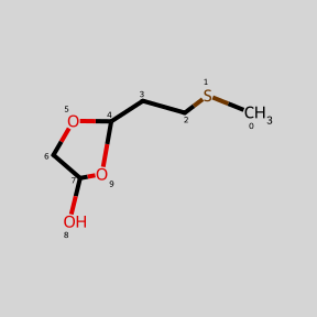 CSCCC1OCC(O)O1